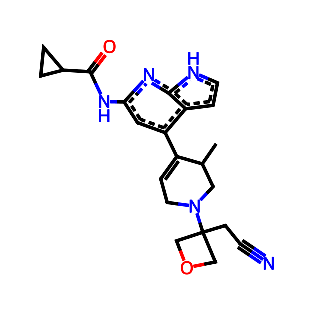 CC1CN(C2(CC#N)COC2)CC=C1c1cc(NC(=O)C2CC2)nc2[nH]ccc12